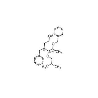 CC(C)CO[C@H]([C@H](CCO)Cc1ccccc1)[C@H](C)OCc1ccccc1